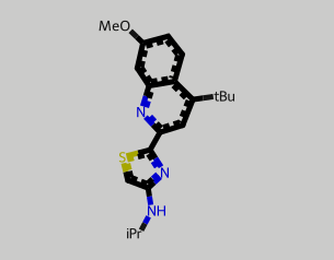 COc1ccc2c(C(C)(C)C)cc(-c3nc(NC(C)C)cs3)nc2c1